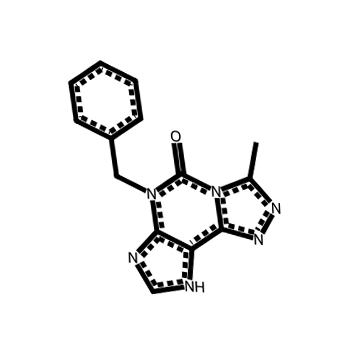 Cc1nnc2c3[nH]cnc3n(Cc3ccccc3)c(=O)n12